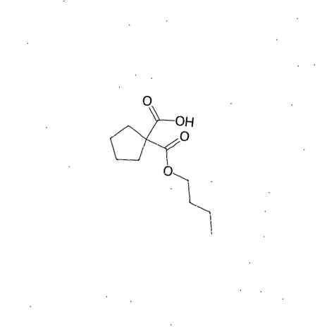 CCCCOC(=O)C1(C(=O)O)CCCC1